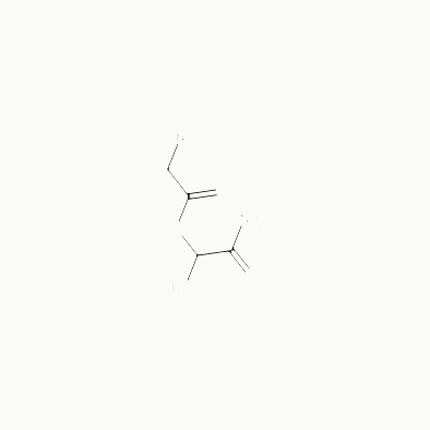 CC(OC(=O)CN)C(N)=O